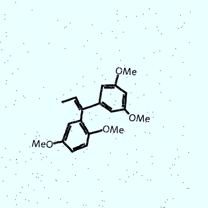 CC=C(c1cc(OC)cc(OC)c1)c1cc(OC)ccc1OC